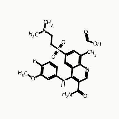 COc1cc(Nc2c(C(N)=O)cnc3c(C)cc(S(=O)(=O)CCN(C)C)cc23)ccc1F.O=CO